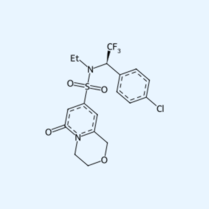 CCN([C@H](c1ccc(Cl)cc1)C(F)(F)F)S(=O)(=O)c1cc2n(c(=O)c1)CCOC2